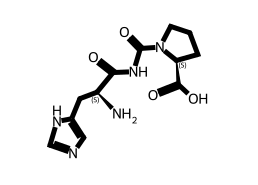 N[C@@H](Cc1cnc[nH]1)C(=O)NC(=O)N1CCC[C@H]1C(=O)O